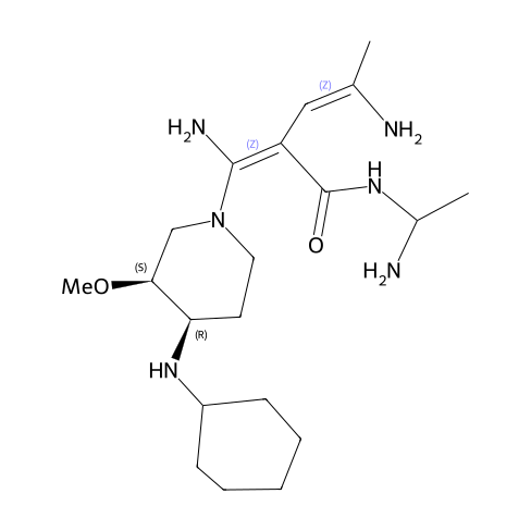 CO[C@H]1CN(/C(N)=C(/C=C(/C)N)C(=O)NC(C)N)CC[C@H]1NC1CCCCC1